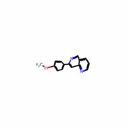 FC(F)(F)Oc1ccc(-c2cc3ncccc3cn2)cc1